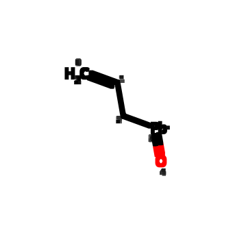 C=C[CH2][Pb]=[O]